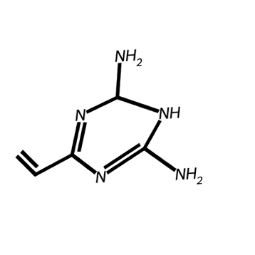 C=CC1=NC(N)NC(N)=N1